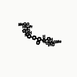 COC(=O)N[C@H](C(=O)N1CCCC1c1ncc(-c2ccc(-c3ccc(-c4ccc5nc(C6CCCN6C(=O)[C@@H](NC(=O)OC)C(C)C)[nH]c5c4)cc3)c3c2C2CCC3C2)[nH]1)C(C)C